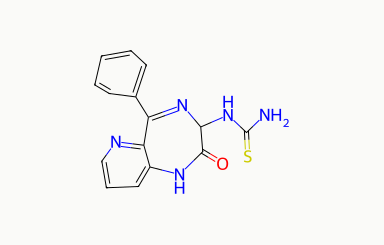 NC(=S)NC1N=C(c2ccccc2)c2ncccc2NC1=O